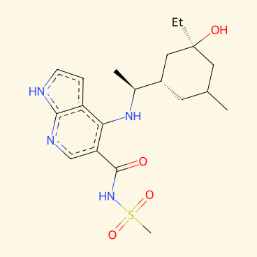 CC[C@]1(O)CC(C)C[C@H]([C@H](C)Nc2c(C(=O)NS(C)(=O)=O)cnc3[nH]ccc23)C1